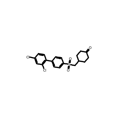 O=C1CCC(CS(=O)(=O)c2ccc(-c3ccc(Cl)cc3Cl)cc2)CC1